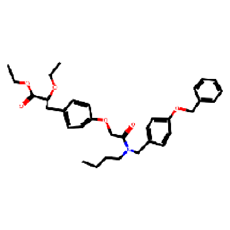 CCCCN(Cc1ccc(OCc2ccccc2)cc1)C(=O)COc1ccc(C[C@H](OCC)C(=O)OCC)cc1